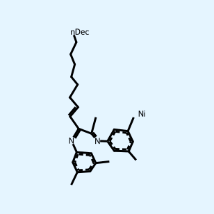 CCCCCCCCCCCCCCCCC=CC(=Nc1cc(C)cc(C)c1)C(C)=Nc1cc(C)cc(C)c1.[Ni]